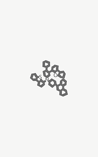 c1ccc(-c2ccc(N(c3ccc(-c4cc5ccccc5c5ccccc45)cc3)c3cccc4c3sc3ccccc34)cc2-c2cccc3c2oc2ccccc23)cc1